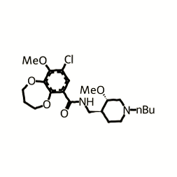 CCCCN1CC[C@@H](CNC(=O)c2cc(Cl)c(OC)c3c2OCCCO3)[C@H](OC)C1